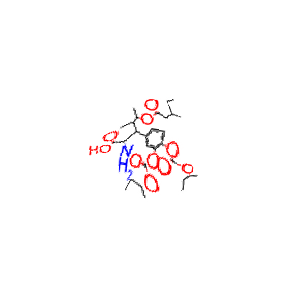 CCC(C)CC(=O)OC(C)C(C)C(c1ccc(OC(=O)OC(C)CC)c(OC(=O)OC(C)CC)c1)[C@H](N)C(=O)O